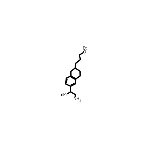 CCCC(CN)c1ccc2c(c1)CCC(CCCOCC)C2